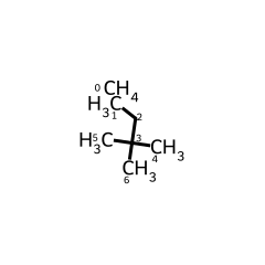 C.CCC(C)(C)C